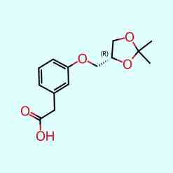 CC1(C)OC[C@@H](COc2cccc(CC(=O)O)c2)O1